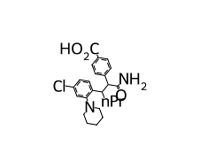 CCCC(c1ccc(Cl)cc1N1CCCCC1)C(C(N)=O)c1ccc(C(=O)O)cc1